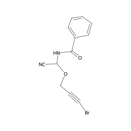 N#CC(NC(=O)c1ccccc1)OCC#CBr